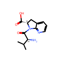 CC(C)[C@H](N)C(=O)N1c2ncccc2C[C@H]1C(=O)O